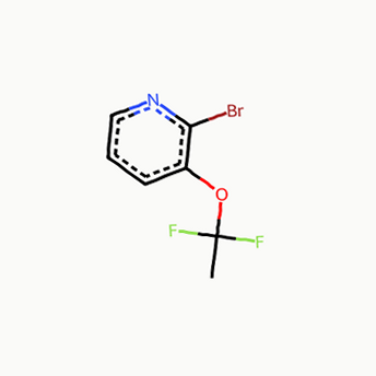 CC(F)(F)Oc1cccnc1Br